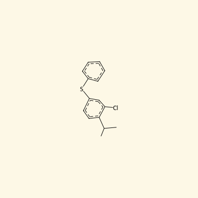 CC(C)c1ccc(Sc2ccccc2)cc1Cl